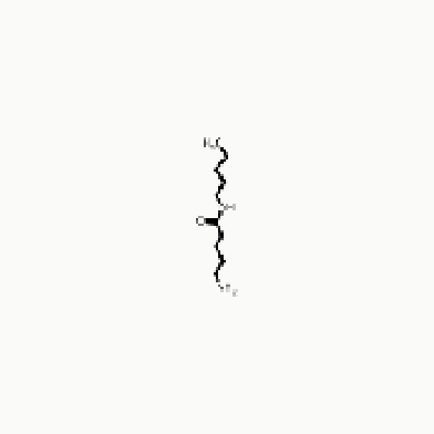 CCCCCNC(=O)CCCCN